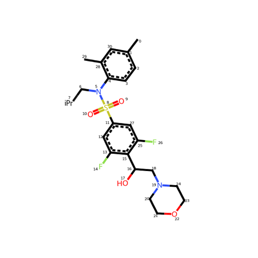 Cc1ccc(N(CC(C)C)S(=O)(=O)c2cc(F)c(C(O)CN3CCOCC3)c(F)c2)c(C)c1